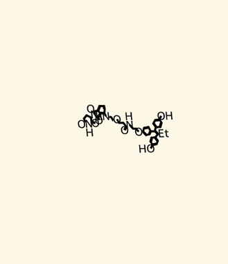 CCC(=C(c1ccc(O)cc1)c1ccc(OCCNC(=O)CCOCCNc2cccc3c2C(=O)N(C2CCC(=O)NC2=O)C3=O)cc1)c1ccc(O)cc1